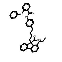 CCCc1cccc2c1C(CCCCc1ccc(NC(=O)c3ccccc3Oc3ccccc3)cc1)(C(N)=O)c1ccccc1-2